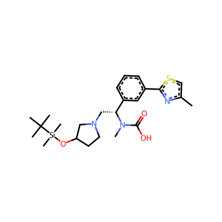 Cc1csc(-c2cccc([C@@H](CN3CCC(O[Si](C)(C)C(C)(C)C)C3)N(C)C(=O)O)c2)n1